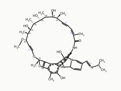 CO[C@H]1/C=C/O[C@@]2(C)Oc3c(C)c(O)c4c(O)c(c5c(c4c3C2=O)NC2C=CC(/C=N/N(C)C)=CN52)NC(=O)/C(C)=C\C=C\[C@H](C)[C@H](O)[C@@H](C)[C@@H](O)[C@@H](C)[C@H](O)[C@@H]1C